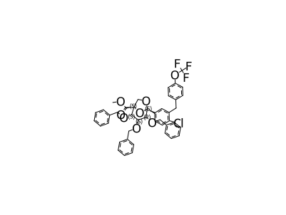 COC(=O)[C@@]12CO[C@@](c3ccc(Cl)c(Cc4ccc(OC(F)(F)F)cc4)c3)(O1)[C@H](OCc1ccccc1)[C@@H](OCc1ccccc1)[C@@H]2OCc1ccccc1